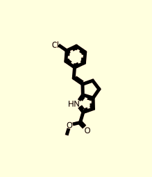 COC(=O)c1cc2c([nH]1)/C(=C/c1cccc(Cl)c1)CC2